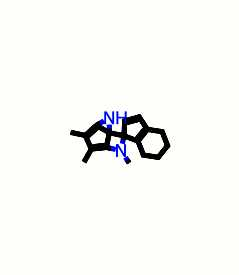 CC1=C2NC23C(=C1C)N(C)C31C=CC2=C1CCCC2